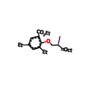 CCCCCCCCC(I)COc1c(CC)cc(CC)cc1C(=O)OCC